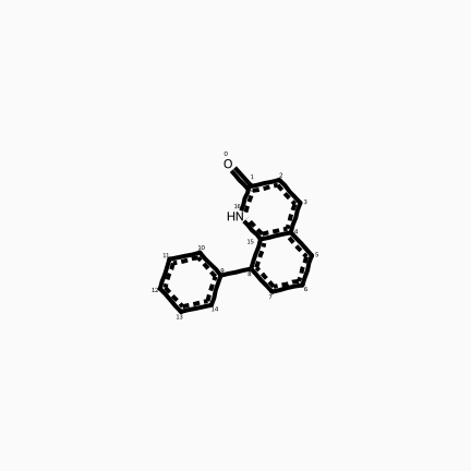 O=c1ccc2cccc(-c3ccccc3)c2[nH]1